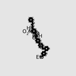 CCOc1ccc(-c2ccccc2CN2CCN(c3ccc(C(=O)NS(=O)(=O)c4ccc(NCCSc5ccccc5)c([N+](=O)[O-])c4)cc3)CC2)cc1